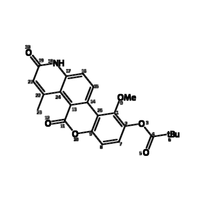 COc1c(OC(=O)C(C)(C)C)ccc2oc(=O)c3c(ccc4[nH]c(=O)cc(C)c43)c12